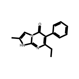 CCc1nc2[nH]c(C)cn2c(=O)c1-c1ccccc1